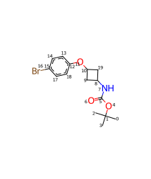 CC(C)(C)OC(=O)NC1CC(Oc2ccc(Br)cc2)C1